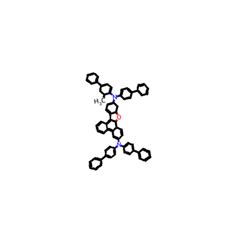 CC1CC(c2ccccc2)=CC=C1N(C1=CC=C2C3=c4ccccc4=C4C=C(N(c5ccc(-c6ccccc6)cc5)c5ccc(-c6ccccc6)cc5)C=CC4C3OC2C1)c1ccc(-c2ccccc2)cc1